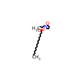 CCCCCCCCCCCCCCCC(=O)OC(CC)CN1CCCC1=O